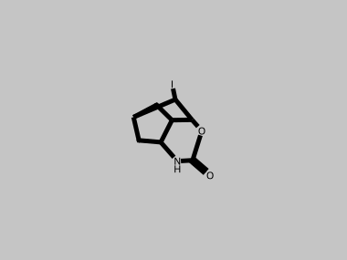 O=C1NC2CC3CC2C(O1)C3I